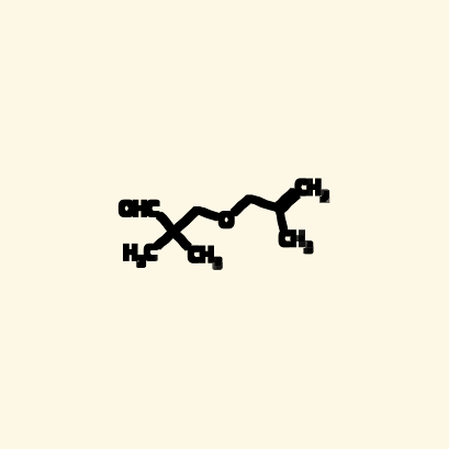 C=C(C)COCC(C)(C)C=O